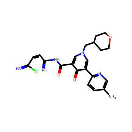 Cc1ccc(-c2cn(CC3CCOCC3)cc(C(=O)NC(=N)/C=C\C(=N)Cl)c2=O)nc1